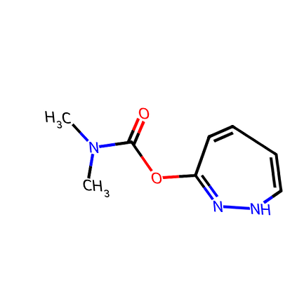 CN(C)C(=O)OC1=NNC=CC=C1